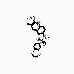 Cc1cc2cc(NS(=O)(=O)c3ccc4c(c3)OCCO4)ccc2nc1O